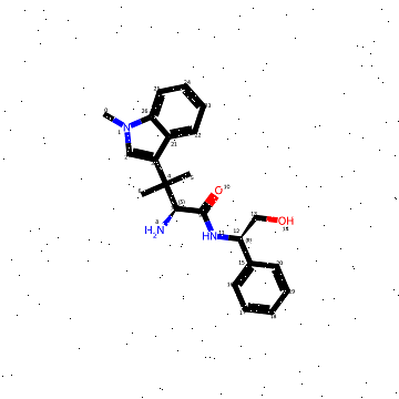 Cn1cc(C(C)(C)[C@H](N)C(=O)N[C@@H](CO)c2ccccc2)c2ccccc21